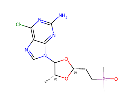 C[C@H]1O[C@@H](CCP(C)(C)=O)OC1n1cnc2c(Cl)nc(N)nc21